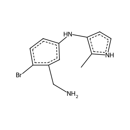 Cc1[nH]ccc1Nc1ccc(Br)c(CN)c1